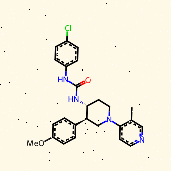 COc1ccc([C@@H]2CN(c3ccncc3C)CC[C@H]2NC(=O)Nc2ccc(Cl)cc2)cc1